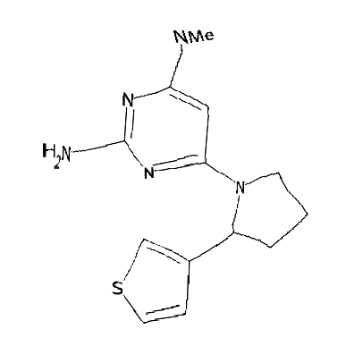 CNc1cc(N2CCCC2c2ccsc2)nc(N)n1